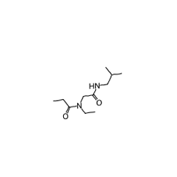 CCC(=O)N(CC)CC(=O)NCC(C)C